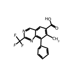 Cc1c(C(=O)O)cc2cnc(C(F)(F)F)nc2c1-c1ccccc1